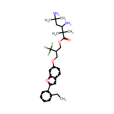 CCc1ccccc1-c1cc2ccc(OCC(COC(=O)C(C)(C)C(N)CC(C)(C)N)C(F)(F)F)cc2o1